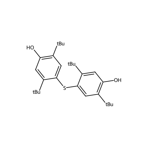 CC(C)(C)c1cc(Sc2cc(C(C)(C)C)c(O)cc2C(C)(C)C)c(C(C)(C)C)cc1O